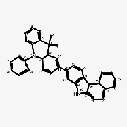 CC1(C)c2ccccc2N(c2ccccc2)C2C=CC(c3ccc4c(c3)NC3=CC=C5C=CC=CC5C34)=CC21